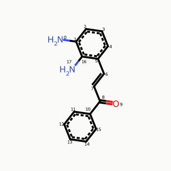 Nc1cccc(C=CC(=O)c2ccccc2)c1N